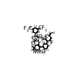 C\C=C(/C=C(F)\C(=C\F)c1ccc(OC)c(C2=C(CN3C(=O)O[C@H](c4cc(C(F)(F)F)cc(C(F)(F)F)c4)[C@@H]3C)CC(C)(C)CC2)c1)C(=O)O